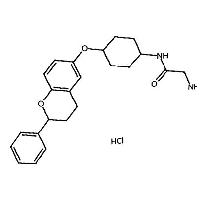 Cl.NCC(=O)NC1CCC(Oc2ccc3c(c2)CCC(c2ccccc2)O3)CC1